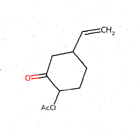 C=CC1CCC(OC(C)=O)C(=O)C1